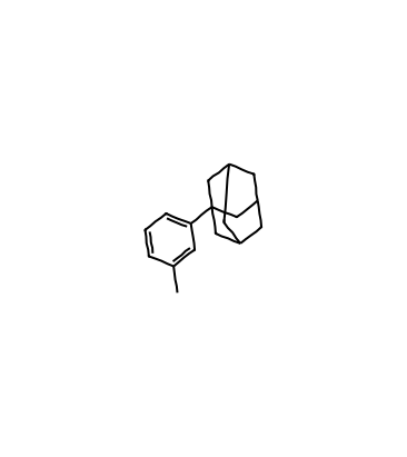 Cc1cccc(C23CC4CC(CC(C4)C2)C3)c1